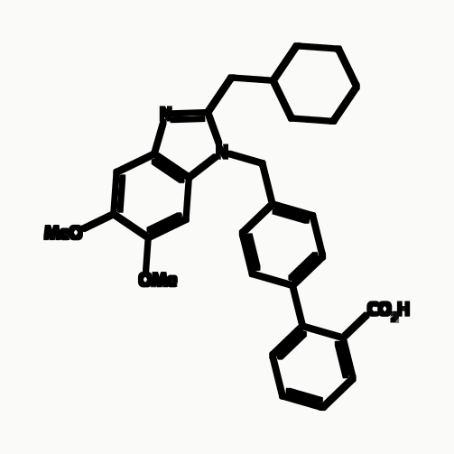 COc1cc2nc(CC3CCCCC3)n(Cc3ccc(-c4ccccc4C(=O)O)cc3)c2cc1OC